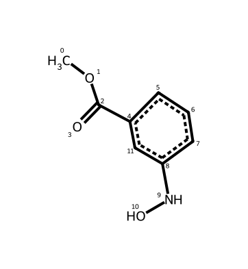 COC(=O)c1cccc(NO)c1